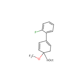 CCCCCCCCC1(OC(F)(F)F)C=CC(c2ccccc2F)=CC1